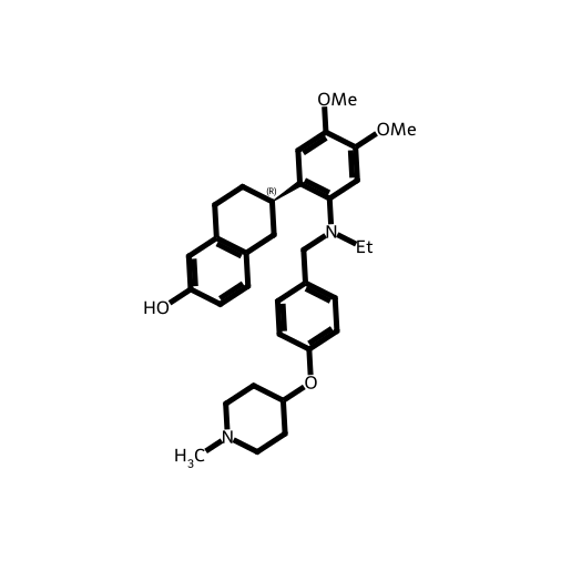 CCN(Cc1ccc(OC2CCN(C)CC2)cc1)c1cc(OC)c(OC)cc1[C@@H]1CCc2cc(O)ccc2C1